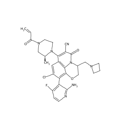 C=CC(=O)N1CCN(c2c(C#N)c(=O)n3c4c(c(-c5c(F)ccnc5N)c(Cl)cc24)OCC3CN2CCC2)[C@@H](C)C1